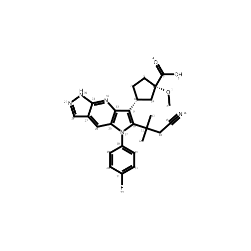 CO[C@@]1(C(=O)O)CC[C@@H](c2c(C(C)(C)CC#N)n(-c3ccc(F)cc3)c3cc4cn[nH]c4nc23)C1